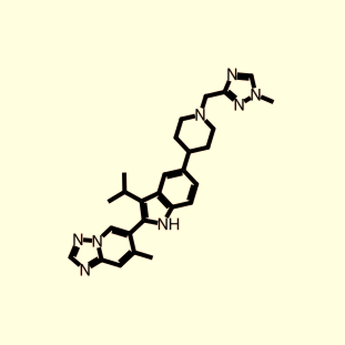 Cc1cc2ncnn2cc1-c1[nH]c2ccc(C3CCN(Cc4ncn(C)n4)CC3)cc2c1C(C)C